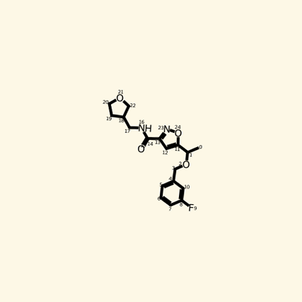 CC(OCc1cccc(F)c1)c1cc(C(=O)NCC2CCOC2)no1